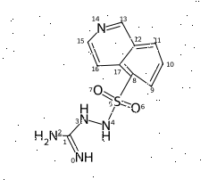 N=C(N)NNS(=O)(=O)c1cccc2cnccc12